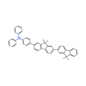 CC1(C)c2ccccc2-c2ccc(-c3ccc4c(c3)C(C)(C)c3cc(-c5ccc(N(c6ccccc6)c6ccccc6)cc5)ccc3-4)cc21